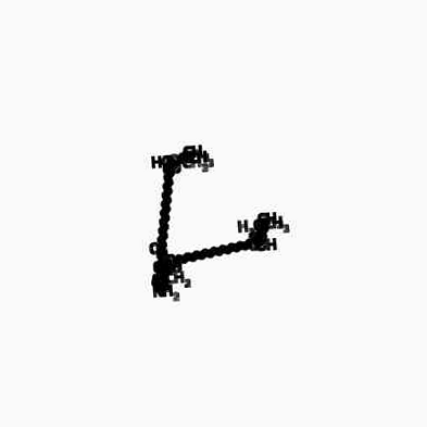 C=C1N=C(N)C=CN1[C@@H]1O[C@H](COC(=O)CCCCCCCCCCCCCCCCCOP(=O)(O)OCC[N+](C)(C)C)C(OC(=O)CCCCCCCCCCCCCCCCCOP(=O)(O)OCC[N+](C)(C)C)C1(F)F